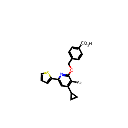 CC(=O)c1c(C2CC2)cc(-c2cccs2)nc1OCc1ccc(C(=O)O)cc1